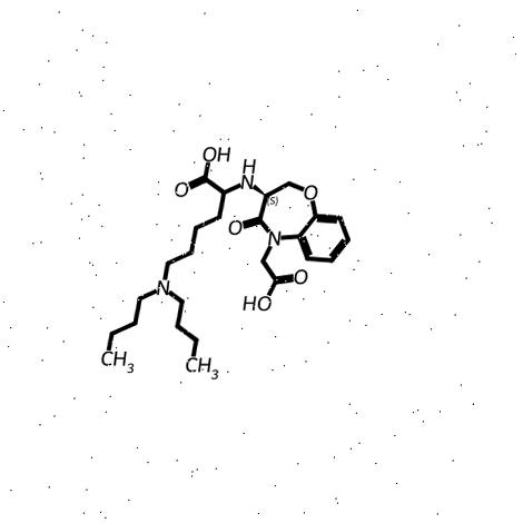 CCCCN(CCCC)CCCCC(N[C@H]1COc2ccccc2N(CC(=O)O)C1=O)C(=O)O